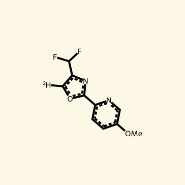 [2H]c1oc(-c2ccc(OC)cn2)nc1C(F)F